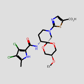 CCO[C@H]1CO[C@]2(CN(c3ncc(C(=O)O)s3)CC[C@H]2NC(=O)c2[nH]c(C)c(Cl)c2Cl)OC1